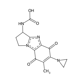 CC1=C(N2CC2)C(=O)c2nc3n(c2C1=O)CCC3NC(=O)O